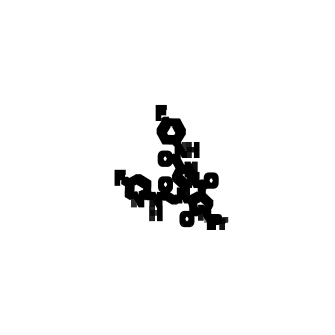 CC(C)N1Cc2c(n(CC(=O)Nc3ccc(F)cn3)c3cc(C(=O)Nc4ccc(F)cc4)nn3c2=O)C1=O